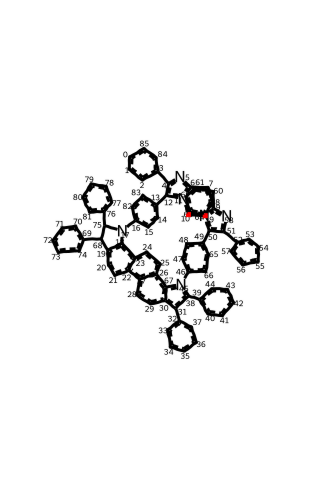 c1ccc(-c2nc3ccccn3c2-c2ccc(N3c4c(ccc5c4ccc4c5ccc5c(-c6ccccc6)c(-c6ccccc6)n(-c6ccc(-c7c(-c8ccccc8)nc8ccccn78)cc6)c54)C(c4ccccc4)C3c3ccccc3)cc2)cc1